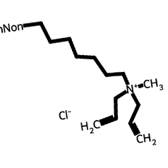 C=CC[N+](C)(CC=C)CCCCCCCCCCCCCCCC.[Cl-]